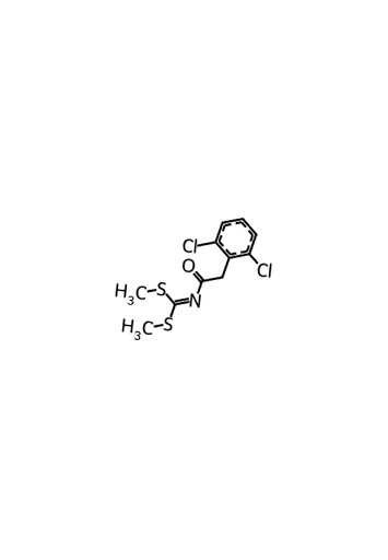 CSC(=NC(=O)Cc1c(Cl)cccc1Cl)SC